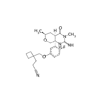 C[C@H]1C[C@H]2C(=O)N(C)C(=N)N[C@@]2(c2cc(OCC3(CCC#N)CCC3)ccc2F)CO1